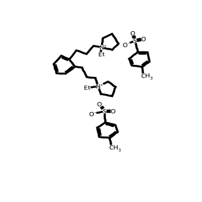 CC[N+]1(CCCc2ccccc2CCC[N+]2(CC)CCCC2)CCCC1.Cc1ccc(S(=O)(=O)[O-])cc1.Cc1ccc(S(=O)(=O)[O-])cc1